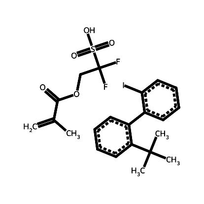 C=C(C)C(=O)OCC(F)(F)S(=O)(=O)O.CC(C)(C)c1ccccc1-c1ccccc1I